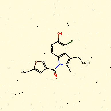 COc1cc(C(=O)n2c(C)c(CC(=O)O)c3c(F)c(O)ccc32)cs1